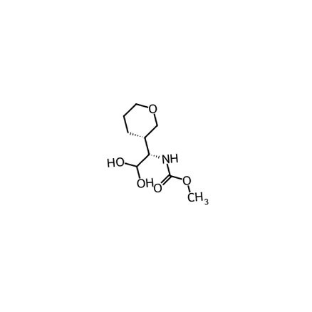 COC(=O)N[C@H](C(O)O)[C@@H]1CCCOC1